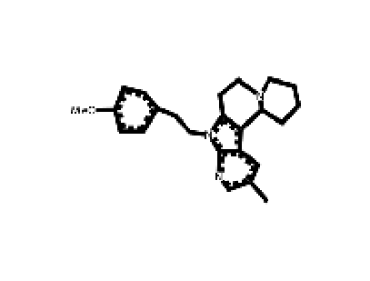 COc1ccc(CCn2c3c(c4cc(C)cnc42)C2CCCCN2CC3)cc1